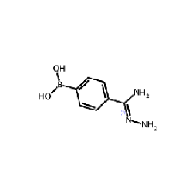 N/N=C(\N)c1ccc(B(O)O)cc1